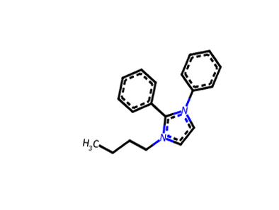 CCCC[n+]1ccn(-c2ccccc2)c1-c1ccccc1